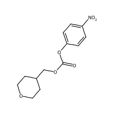 O=C(OCC1CCOCC1)Oc1ccc([N+](=O)[O-])cc1